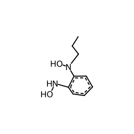 CCCN(O)c1ccccc1NO